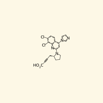 O=C(O)C#CC[C@@H]1CCCN1c1cc(-n2ccnc2)c2ccc(Cl)c(Cl)c2n1